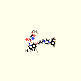 COC(=O)CNC(O)OCN1C(=O)CC(C)(C)c2ccc(OCCCCN3CCN(c4cccc5sccc45)CC3)cc21